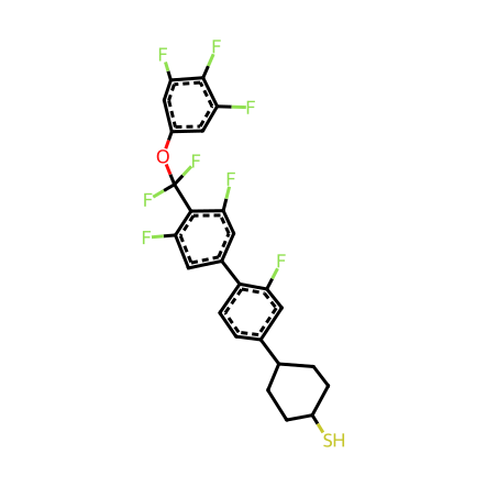 Fc1cc(C2CCC(S)CC2)ccc1-c1cc(F)c(C(F)(F)Oc2cc(F)c(F)c(F)c2)c(F)c1